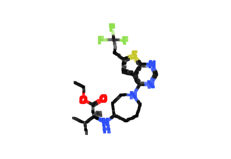 CCOC(=O)[C@@H](NC1CCCN(c2ncnc3sc(CC(F)(F)F)cc23)CC1)C(C)C